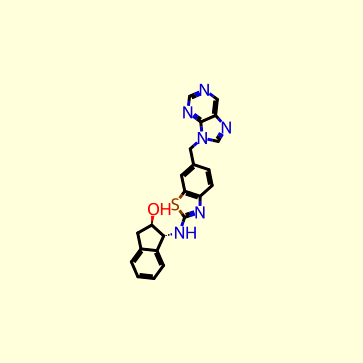 O[C@@H]1Cc2ccccc2[C@H]1Nc1nc2ccc(Cn3cnc4cncnc43)cc2s1